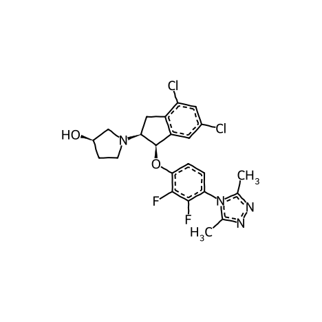 Cc1nnc(C)n1-c1ccc(O[C@@H]2c3cc(Cl)cc(Cl)c3C[C@@H]2N2CC[C@@H](O)C2)c(F)c1F